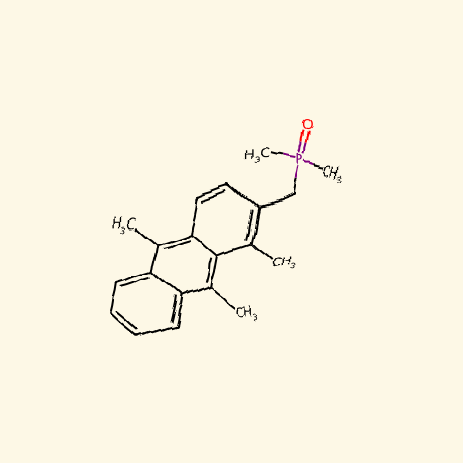 Cc1c2ccccc2c(C)c2c(C)c(CP(C)(C)=O)ccc12